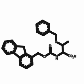 CC(OCc1ccccc1)C(NC(=O)OCc1cccc2c1Cc1ccccc1-2)C(=O)O